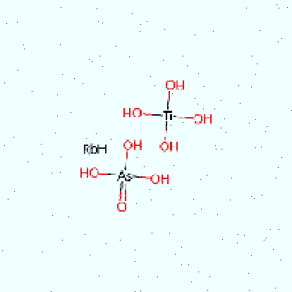 O=[As](O)(O)O.[OH][Ti]([OH])([OH])[OH].[RbH]